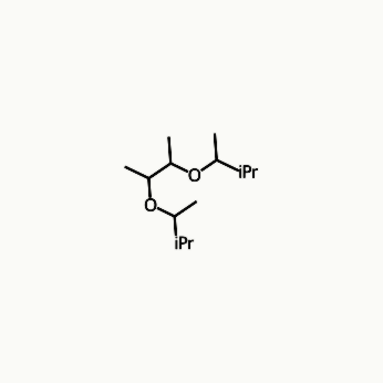 CC(C)C(C)OC(C)C(C)OC(C)C(C)C